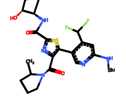 CC1CCCN1C(=O)c1nc(C(=O)N[C@@H]2CC[C@H]2O)sc1-c1cnc(NC(C)(C)C)cc1C(F)F